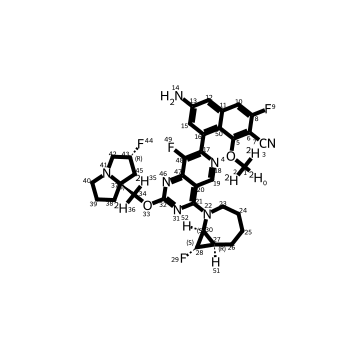 [2H]C([2H])([2H])Oc1c(C#N)c(F)cc2cc(N)cc(-c3ncc4c(N5CCCC[C@H]6[C@H](F)[C@H]65)nc(OC([2H])([2H])[C@@]56CCCN5C[C@H](F)C6)nc4c3F)c12